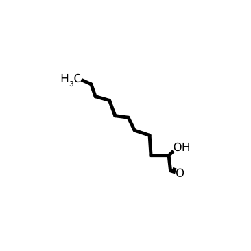 CCCCCCCCCC(O)C=O